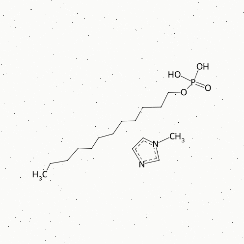 CCCCCCCCCCCCOP(=O)(O)O.Cn1ccnc1